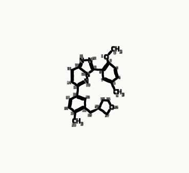 COc1ccc(C)cc1-c1nnc2ccc(-c3ccc(C)c(C[C@H]4CCOC4)c3)nn12